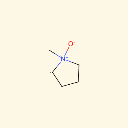 C[N+]1([O-])[CH]CCC1